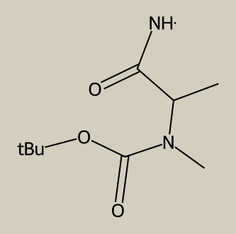 CC(C([NH])=O)N(C)C(=O)OC(C)(C)C